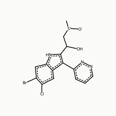 C[S+]([O-])CC(O)c1[nH]c2cc(Br)c(Cl)cc2c1-c1cccnn1